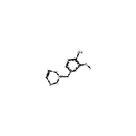 COc1cc(CN2CC=CCC2)ccc1O